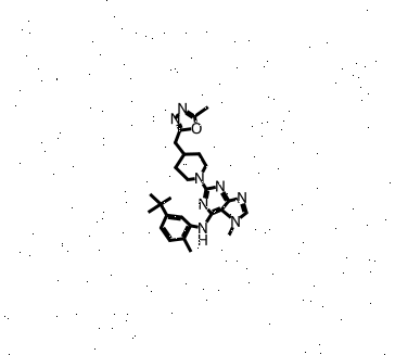 Cc1nnc(CC2CCN(c3nc(Nc4cc(C(C)(C)C)ccc4C)c4c(ncn4C)n3)CC2)o1